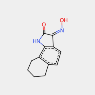 O=C1Nc2c(ccc3c2CCCC3)/C1=N/O